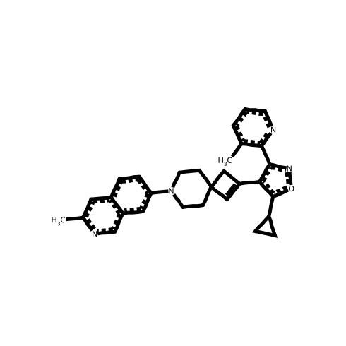 Cc1cc2ccc(N3CCC4(C=C(c5c(-c6ncccc6C)noc5C5CC5)C4)CC3)cc2cn1